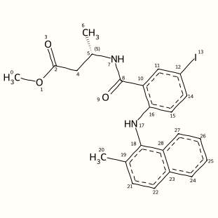 COC(=O)C[C@H](C)NC(=O)c1cc(I)ccc1Nc1c(C)ccc2ccccc12